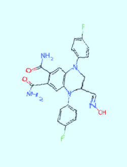 NC(=O)c1cc2c(cc1C(N)=O)N(c1ccc(F)cc1)C(C=NO)CN2c1ccc(F)cc1